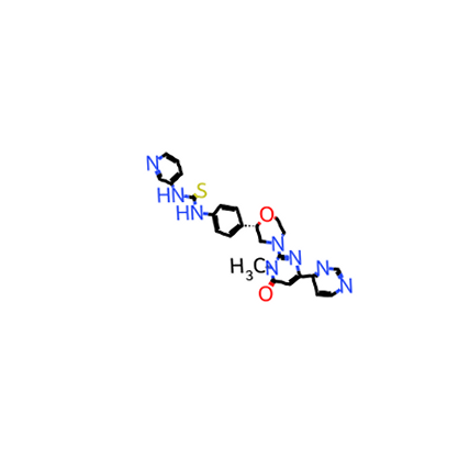 Cn1c(N2CCO[C@@H](c3ccc(NC(=S)Nc4cccnc4)cc3)C2)nc(-c2ccncn2)cc1=O